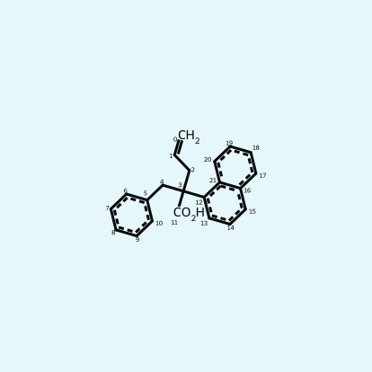 C=CCC(Cc1ccccc1)(C(=O)O)c1cccc2ccccc12